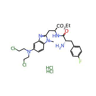 CCOC(=O)[C@H](Cc1nc2cc(N(CCCl)CCCl)ccc2n1C)NC(=O)[C@@H](N)Cc1ccc(F)cc1.Cl.Cl